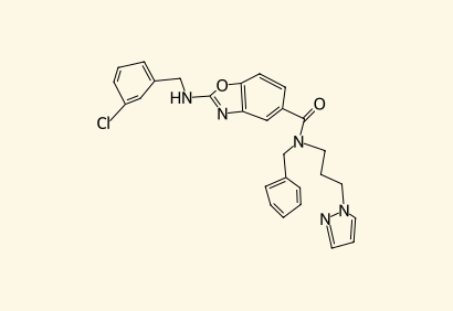 O=C(c1ccc2oc(NCc3cccc(Cl)c3)nc2c1)N(CCCn1cccn1)Cc1ccccc1